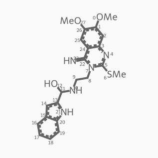 COc1cc2nc(SC)n(CCNC(O)c3cc4ccccc4[nH]3)c(=N)c2cc1OC